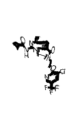 Cc1cc(C(=O)NCCOc2ncc(C(F)(F)F)cc2Cl)nc(NC(=O)C2CC2)n1